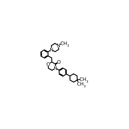 CN1CCN(c2ccccc2CC2OCCN(c3ccc(C4CCC(C)(C)CC4)cc3)C2=O)CC1